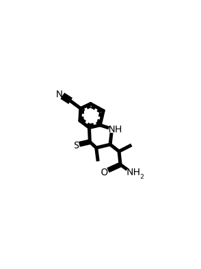 CC(C(N)=O)C1Nc2ccc(C#N)cc2C(=S)C1C